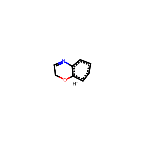 C1=Nc2ccccc2OC1.[H+]